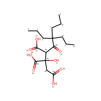 CCCC(CCC)(CCC)C(=O)C(C(=O)O)C(O)(CC(=O)O)C(=O)O